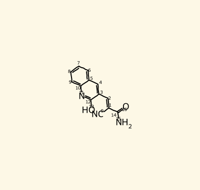 N#CC(=Cc1cc2ccccc2nc1O)C(N)=O